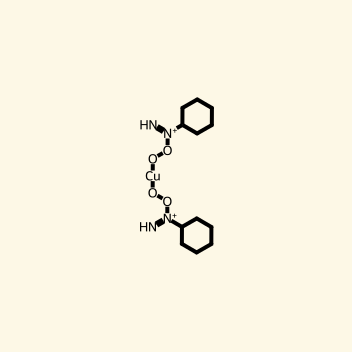 N=[N+](O[O][Cu][O]O[N+](=N)C1CCCCC1)C1CCCCC1